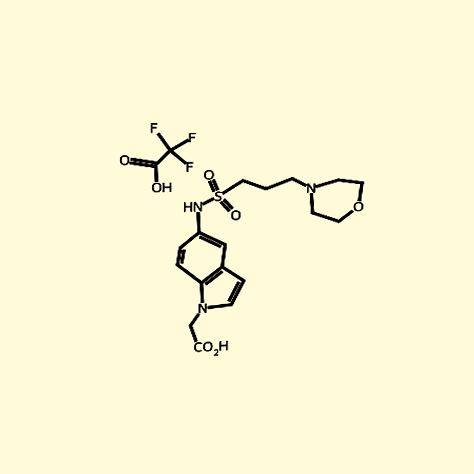 O=C(O)C(F)(F)F.O=C(O)Cn1ccc2cc(NS(=O)(=O)CCCN3CCOCC3)ccc21